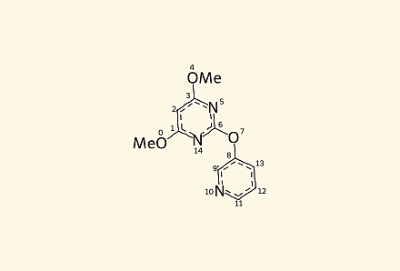 COc1cc(OC)nc(Oc2[c]nccc2)n1